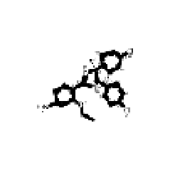 CCOc1cc(N)ccc1C1=N[C@@](C)(c2ccc(Cl)cc2)[C@@](C)(c2ccc(Cl)cc2)N1